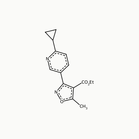 CCOC(=O)c1c(-c2ccc(C3CC3)nc2)noc1C